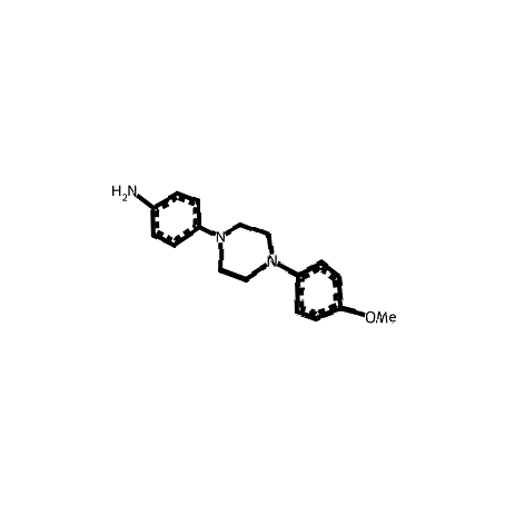 COc1ccc(N2CCN(c3ccc(N)cc3)CC2)cc1